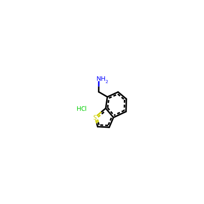 Cl.NCc1cccc2ccsc12